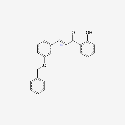 O=C(/C=C/c1cccc(OCc2ccccc2)c1)c1ccccc1O